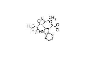 CCc1noc(C(C)C)c1-c1[nH]c2ccccc2c1C(=O)C(=O)Cl